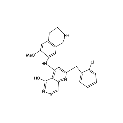 COc1cc2c(cc1Nc1cc(Cc3ccccc3Cl)nc3cnnc(O)c13)CNCC2